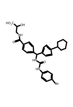 CC(C)c1ccc(NC(=O)NC(c2ccc(C(=O)NCC(O)C(=O)O)cc2)c2ccc(C3CCCCC3)cc2)cc1